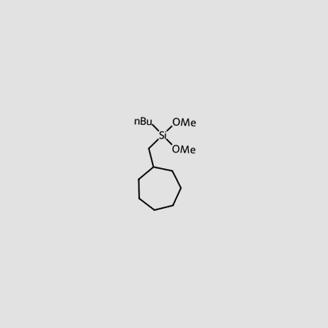 CCCC[Si](CC1CCCCCC1)(OC)OC